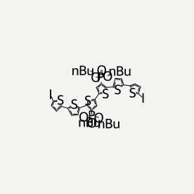 CCCCOP(=O)(OCCCC)c1cc(-c2cc(P(=O)(OCCCC)OCCCC)c(-c3ccc(-c4ccc(I)s4)s3)s2)sc1-c1ccc(-c2ccc(I)s2)s1